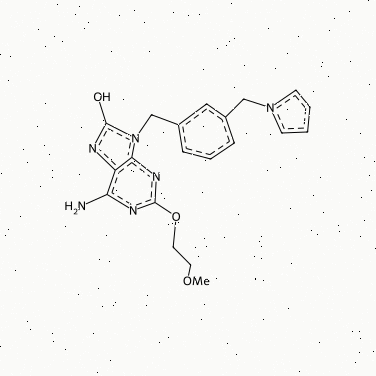 COCCOc1nc(N)c2nc(O)n(Cc3cccc(Cn4cccc4)c3)c2n1